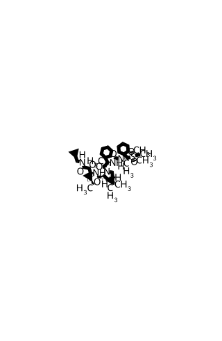 CC[C@H]1C[C@]1(NC(=O)[C@@H]1[C@@H]2[C@H](CN1C(=O)[C@@H](NC(=O)NC1([C@@H](C)S(=O)(=O)C(C)(C)C)CCCCC1)C1(C)CCCCC1)C2(C)C)C(=O)C(=O)NCC1CC1